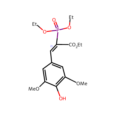 CCOC(=O)/C(=C\c1cc(OC)c(O)c(OC)c1)P(=O)(OCC)OCC